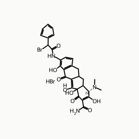 Br.CN(C)[C@@H]1C(O)=C(C(N)=O)C(=O)C2(O)C(O)=C3C(=O)c4c(ccc(NC(=O)C(Br)c5ccccc5)c4O)CC3CC12